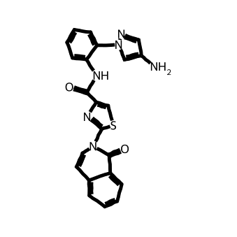 Nc1cnn(-c2ccccc2NC(=O)c2csc(-n3ccc4ccccc4c3=O)n2)c1